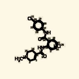 CN1CC=C(C(=O)Nc2ccccc2C(=O)Nc2ccc(Cl)cc2)CC1.Cl